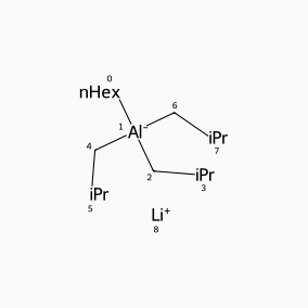 CCCCC[CH2][Al-]([CH2]C(C)C)([CH2]C(C)C)[CH2]C(C)C.[Li+]